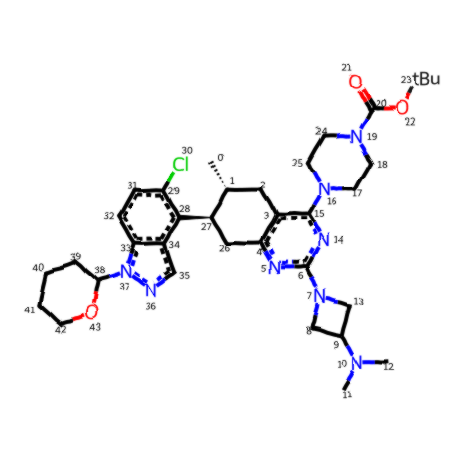 C[C@@H]1Cc2c(nc(N3CC(N(C)C)C3)nc2N2CCN(C(=O)OC(C)(C)C)CC2)C[C@H]1c1c(Cl)ccc2c1cnn2C1CCCCO1